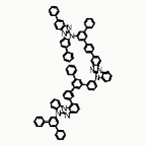 c1ccc(-c2cc(-c3cccc(-c4cccc5nc6n(-c7cc(-c8ccccc8)cc(-c8ccccc8)c7)c7ccccc7n6c45)c3)cc(-c3cccc(-n4c5ccccc5n5c6ccc(-c7ccc(-c8cc(-c9ccccc9)cc(-n9c%10cc(-c%11ccccc%11)ccc%10n%10c%11ccc(-c%12ccccc%12)cc%11nc9%10)c8)cc7)cc6nc45)c3)c2)cc1